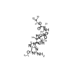 CCOc1nc(N)nc2c1ncn2[C@@H]1O[C@@H]2CO[P@@](=O)(CN[C@@H](C)C(=O)OCC(C)C)O[C@H]2[C@@H]1C